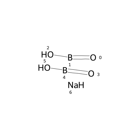 O=BO.O=BO.[NaH]